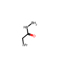 BBC(=O)CCCC